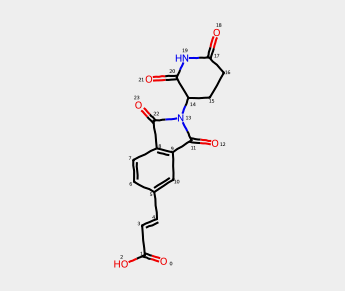 O=C(O)C=Cc1ccc2c(c1)C(=O)N(C1CCC(=O)NC1=O)C2=O